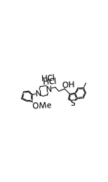 COc1ccccc1N1CCN(CCC(O)c2csc3ccc(C)cc23)CC1.Cl.Cl